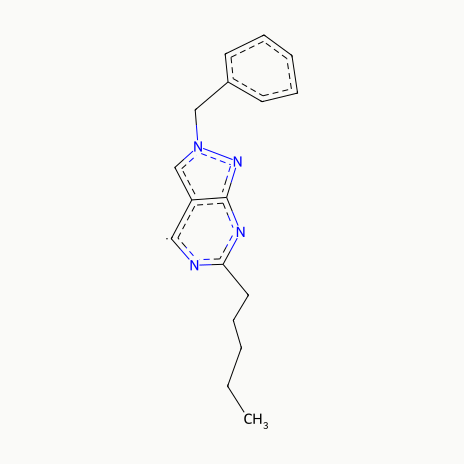 CCCCCc1n[c]c2cn(Cc3ccccc3)nc2n1